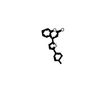 CC1C=CC(c2ccc(-c3cc(=O)oc4ccccc34)s2)=CC1